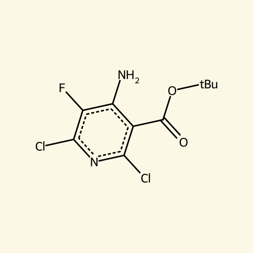 CC(C)(C)OC(=O)c1c(Cl)nc(Cl)c(F)c1N